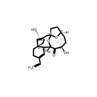 C=CC1=C[C@@H]2[C@@H]3O[C@]4(CC[C@@H](CC[C@@H](O)C3=O)O4)C[C@H](O)C3=NCC[C@@]32CC1